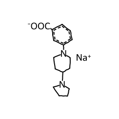 O=C([O-])c1cccc(N2CCC(N3CCCC3)CC2)c1.[Na+]